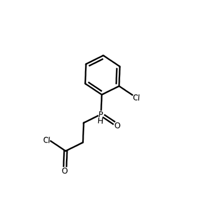 O=C(Cl)CC[PH](=O)c1ccccc1Cl